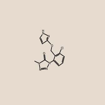 Cn1nnn(-c2cccc(Cl)c2COc2cc[nH]n2)c1=O